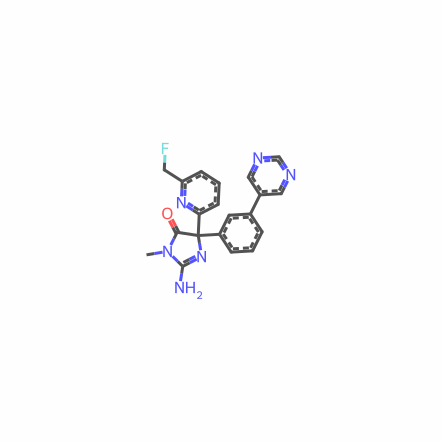 CN1C(=O)C(c2cccc(-c3cncnc3)c2)(c2cccc(CF)n2)N=C1N